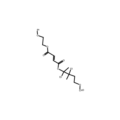 CCC(C)(CCOC=O)C(C)(CC)OC(=O)/C=C/C(=O)OCCOC(C)C